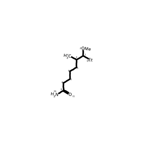 CCC(OC)C(C)CCCCC(N)=O